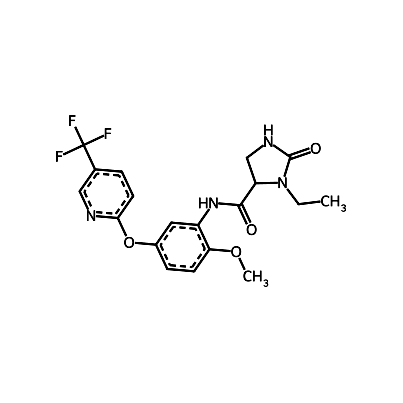 CCN1C(=O)NCC1C(=O)Nc1cc(Oc2ccc(C(F)(F)F)cn2)ccc1OC